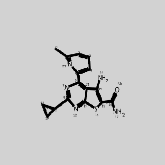 Cc1cccc(-c2nc(C3CC3)nc3sc(C(N)=O)c(N)c23)n1